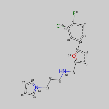 Fc1ccc(-c2ccc(CNCCCn3cccc3)o2)cc1Cl